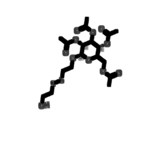 CC(=O)OCC1O[C@@H](OCCSSCCO)[C@@H](OC(C)=O)C(OC(C)=O)[C@@H]1OC(C)=O